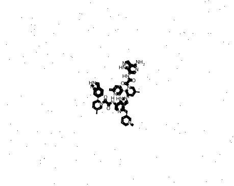 Cc1ccc([C@H]2C([n+]3cc4c(C[C@@H]5CCCN(C)C5)ncc(NC(=O)C(=O)N5C[C@@H](C)CC[C@@H]5c5ccc6c[nH]nc6c5)c4[nH]3)C[C@H](C)CN2C(=O)C(=O)Nc2cnc(N)c3cn[nH]c23)cn1